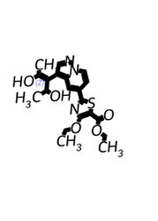 CCOC(=O)c1sc(-c2ccn3ncc(/C(=C(\C)O)C(C)O)c3c2)nc1OCC